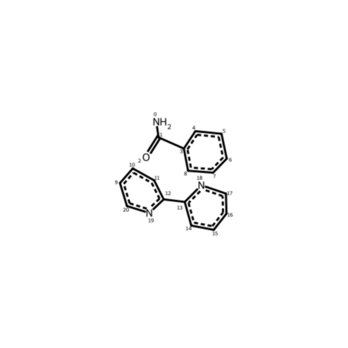 NC(=O)c1ccccc1.c1ccc(-c2ccccn2)nc1